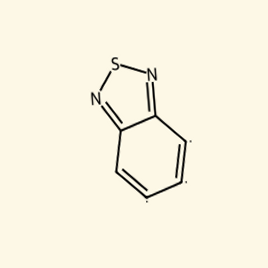 [c]1[c]cc2nsnc2[c]1